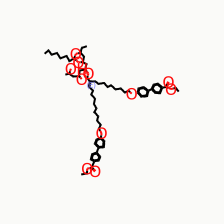 CCCCCCCC1OC(CC)CC(CC2CC(CC(C)O)OC(/C(=C/CCCCCCCCCCOc3ccc(-c4ccc(C(=O)OCC)cc4)cc3)CCCCCCCCCOc3ccc(-c4ccc(C(=O)OCC)cc4)cc3)O2)O1